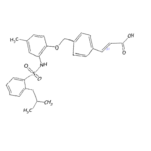 Cc1ccc(OCc2ccc(/C=C/C(=O)O)cc2)c(NS(=O)(=O)c2ccccc2CC(C)C)c1